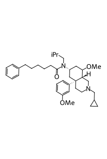 COc1cccc([C@@]23CCN(CC4CC4)C[C@H]2C(OC)C[C@@H](N(CC(C)C)C(=O)CCCCCc2ccccc2)C3)c1